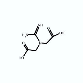 N=C(N)N(CC(=O)O)CC(=O)O